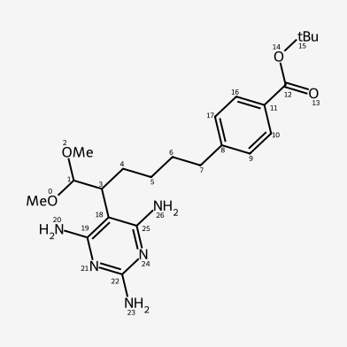 COC(OC)C(CCCCc1ccc(C(=O)OC(C)(C)C)cc1)c1c(N)nc(N)nc1N